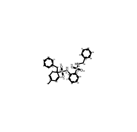 CC1=CCC(Cc2ccccc2)(S(=O)(=O)Nc2ccccc2S(=O)(=O)NCc2ccccc2)C=C1